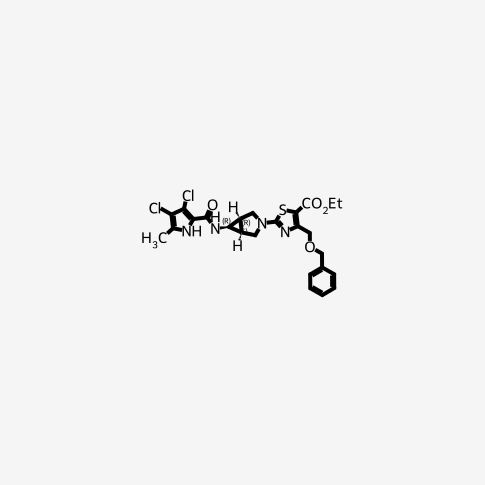 CCOC(=O)c1sc(N2C[C@@H]3[C@H](C2)[C@@H]3NC(=O)c2[nH]c(C)c(Cl)c2Cl)nc1COCc1ccccc1